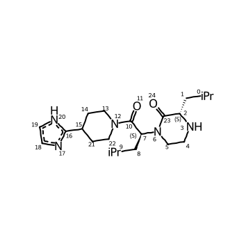 CC(C)C[C@@H]1NCCN([C@@H](CC(C)C)C(=O)N2CCC(c3ncc[nH]3)CC2)C1=O